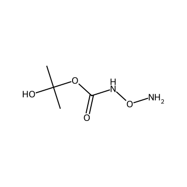 CC(C)(O)OC(=O)NON